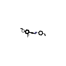 CCOc1ccc(C#C/C=C/[C@H]2CC[C@H](CC)CC2)c(F)c1